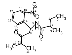 CCC(C)C(=O)NC(CC(=O)C(C)C)c1ccccc1[N+](=O)[O-]